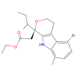 CCOC(=O)C[C@@]1(C(C)CC)OCCc2c1[nH]c1c(C)ccc(Br)c21